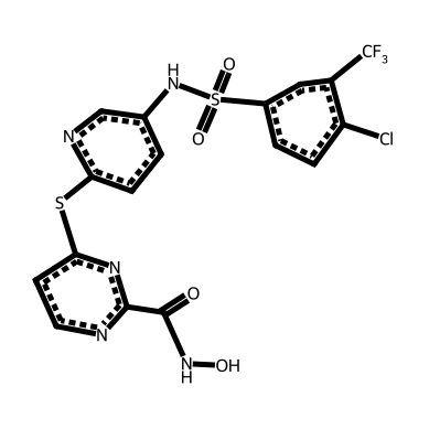 O=C(NO)c1nccc(Sc2ccc(NS(=O)(=O)c3ccc(Cl)c(C(F)(F)F)c3)cn2)n1